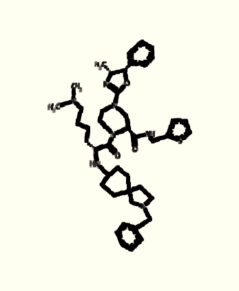 C[C@H]1N=C(N2CCN(C(=O)[C@@H](CCCCN(C)C)NC3CCC4(CC3)CCN(Cc3ccccc3)C4)[C@H](C(=O)NCc3cccs3)C2)O[C@@H]1c1ccccc1